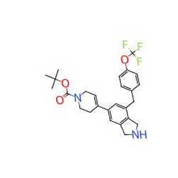 CC(C)(C)OC(=O)N1CC=C(c2cc3c(c(Cc4ccc(OC(F)(F)F)cc4)c2)CNC3)CC1